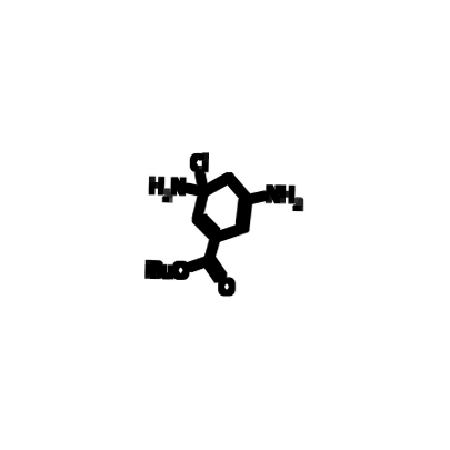 CC(C)COC(=O)C1=CC(N)(Cl)CC(N)=C1